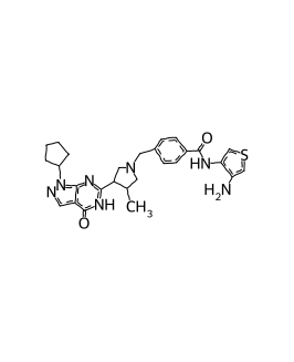 CC1CN(Cc2ccc(C(=O)Nc3cscc3N)cc2)CC1c1nc2c(cnn2C2CCCC2)c(=O)[nH]1